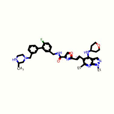 CCc1nc2c(cnn2CC)c(NC2CCOCC2)c1/C=C/c1nc(C(=O)NCc2ccc(F)c(-c3cccc(CN4CCNC(C)C4)c3)c2)co1